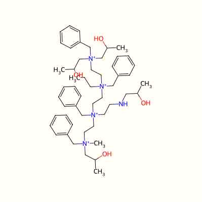 CCC[N+](CC[N+](CCNCC(C)O)(CC[N+](C)(Cc1ccccc1)CC(C)O)Cc1ccccc1)(CC[N+](Cc1ccccc1)(CC(C)O)CC(C)O)Cc1ccccc1